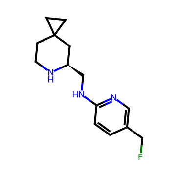 FCc1ccc(NC[C@@H]2CC3(CCN2)CC3)nc1